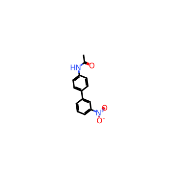 CC(=O)Nc1ccc(-c2cccc([N+](=O)[O-])c2)cc1